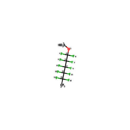 O=S(=O)(O)OC(F)(F)C(F)(F)C(F)(F)C(F)(F)C(F)(F)C(F)(F)F